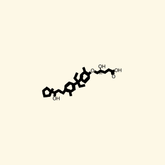 CCC(CC)(c1ccc(CCC(O)C2(C)CCCC2)c(C)c1)c1ccc(OC[C@H](O)CCC(=O)O)c(C)c1